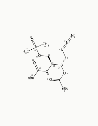 CCCCC(=O)O[C@@H](CN=[N+]=[N-])[C@H](COP(C)(C)=O)OC(=O)CCCC